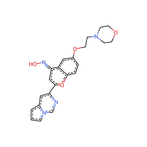 ON=c1cc(-c2cc3cccn3cn2)oc2ccc(OCCN3CCOCC3)cc12